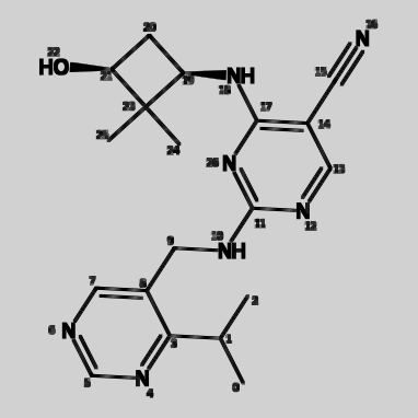 CC(C)c1ncncc1CNc1ncc(C#N)c(N[C@@H]2C[C@H](O)C2(C)C)n1